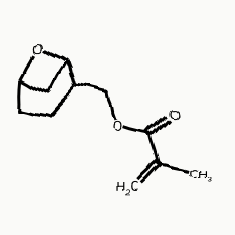 C=C(C)C(=O)OCC1CCC2CC1O2